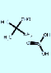 CC(C)(N)C=O.O=S(O)O